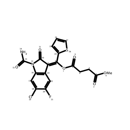 COC(=O)CCC(=O)O/C(=C1/C(=O)N(C(N)=O)c2cc(Cl)c(F)cc21)c1cccs1